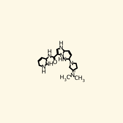 CN(C)[C@H]1CCN(C2C=CC3NC=C(C(=O)NC4C=CCNN4)N3N2)C1